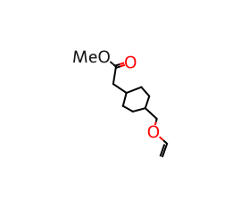 C=COCC1CCC(CC(=O)OC)CC1